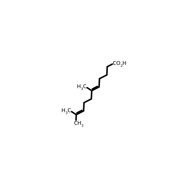 CC(C)=CCC/C(C)=C/CCCC(=O)O